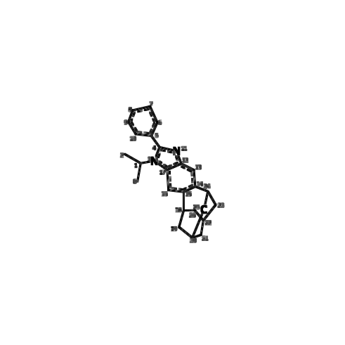 CC(C)n1c(-c2ccccc2)nc2cc3c(cc21)C1CC2CC(CC3C2)C1